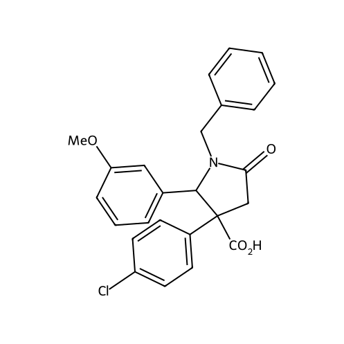 COc1cccc(C2N(Cc3ccccc3)C(=O)CC2(C(=O)O)c2ccc(Cl)cc2)c1